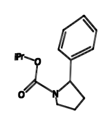 CC(C)OC(=O)N1CCCC1c1ccccc1